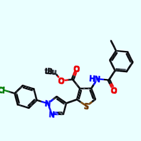 Cc1cccc(C(=O)Nc2csc(-c3cnn(-c4ccc(Cl)cc4)c3)c2C(=O)OC(C)(C)C)c1